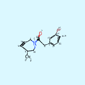 CC1C=CCN(C(=O)Cc2cccc(Br)c2)C1